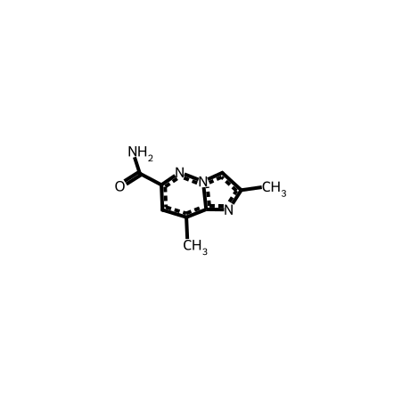 Cc1cn2nc(C(N)=O)cc(C)c2n1